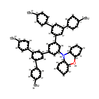 CC(C)(C)c1ccc(-c2cc(-c3ccc(C(C)(C)C)cc3)cc(-c3cc(-c4cc(-c5ccc(C(C)(C)C)cc5)cc(-c5ccc(C(C)(C)C)cc5)c4)cc(N4c5ccccc5Oc5ccccc54)c3)c2)cc1